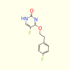 O=c1nc(OCCc2ccc(F)cc2)c(F)c[nH]1